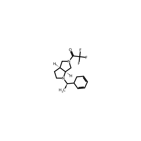 C[C@H](C1C=CC=CC1)N1CC[C@H]2CN(C(=O)C(F)(F)F)C[C@H]21